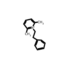 Cc1cccc(C)[n+]1CCc1ccccc1